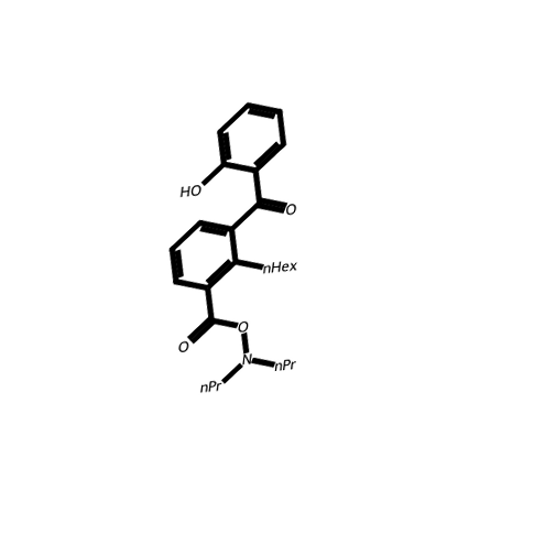 CCCCCCc1c(C(=O)ON(CCC)CCC)cccc1C(=O)c1ccccc1O